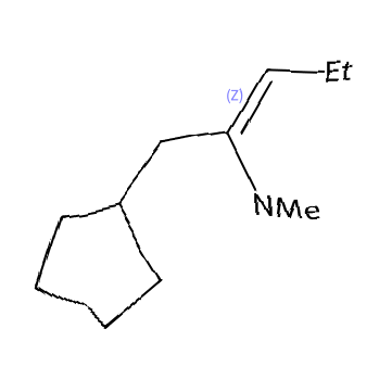 CC/C=C(/CC1CCCC1)NC